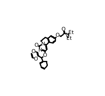 CCN(CC)C(=O)COc1ccc2c(c1)CCn1c-2cc(OC(C2=CC=CCC2)C2=COC=CO2)nc1=O